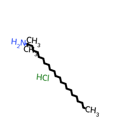 CCCCCCCCCCCCCCCCCCCCCC(C)(C)N.Cl